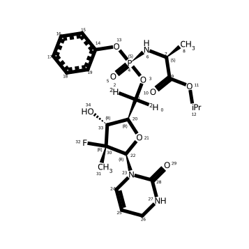 [2H]C([2H])(O[P@@](=O)(N[C@@H](C)C(=O)OC(C)C)Oc1ccccc1)[C@H]1O[C@@H](N2C=CCNC2=O)[C@](C)(F)[C@@H]1O